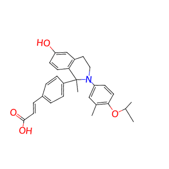 Cc1cc(N2CCc3cc(O)ccc3C2(C)c2ccc(/C=C/C(=O)O)cc2)ccc1OC(C)C